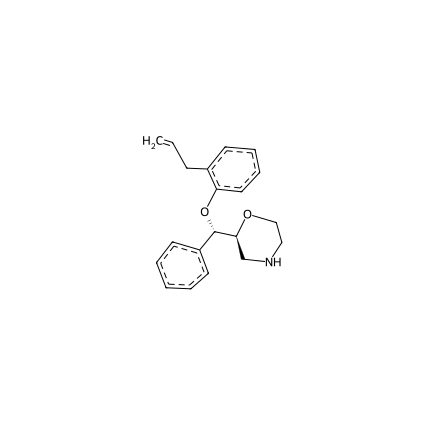 C=CCc1ccccc1O[C@@H](c1ccccc1)[C@@H]1CNCCO1